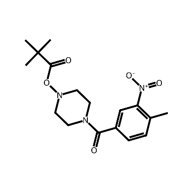 Cc1ccc(C(=O)N2CCN(OC(=O)C(C)(C)C)CC2)cc1[N+](=O)[O-]